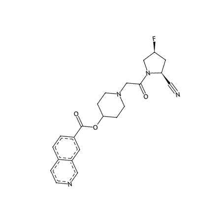 N#C[C@@H]1C[C@H](F)CN1C(=O)CN1CCC(OC(=O)c2ccc3ccncc3c2)CC1